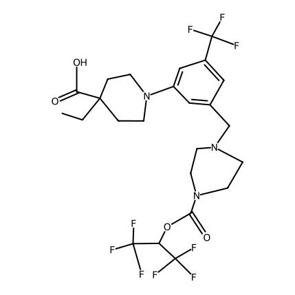 CCC1(C(=O)O)CCN(c2cc(CN3CCN(C(=O)OC(C(F)(F)F)C(F)(F)F)CC3)cc(C(F)(F)F)c2)CC1